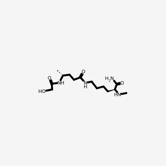 CN[C@@H](CCCCNC(=O)CC[C@@H](C)NC(=O)CO)C(N)=O